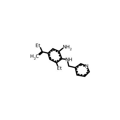 C=C(CC)c1cc(N)c(NCc2cccnc2)c(CC)c1